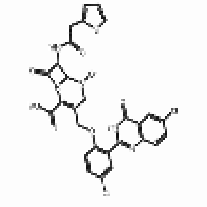 O=C(Cc1cccs1)N[C@@H]1C(=O)N2C(C(=O)O)=C(COc3ccc(Cl)cc3-c3nc4ccc(Cl)cc4c(=O)[nH]3)C[S+]([O-])C12